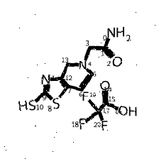 NC(=O)CN1C=Cc2sc(S)nc2C1.O=C(O)C(F)(F)F